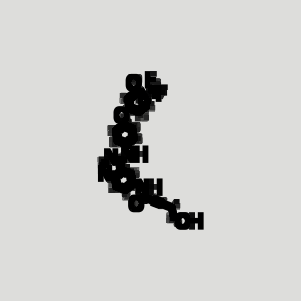 O=C(C#CCCO)Nc1ccc2ncnc(Nc3ccc(Oc4ccn(C(F)F)c(=O)c4)cc3)c2c1